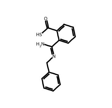 NC(=NCc1ccccc1)c1ccccc1C(=O)S